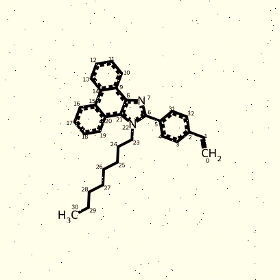 C=Cc1ccc(-c2nc3c4ccccc4c4ccccc4c3n2CCCCCCCC)cc1